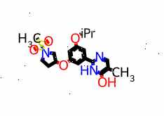 CC1=C(O)NC(c2cc(OC(C)C)cc(OC3CCN(S(C)(=O)=O)C3)c2)N=C1